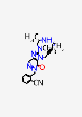 CC#CCn1c(N(C)C[C@H](C)N)nc2cnn(Cc3ccccc3C#N)c(=O)c21